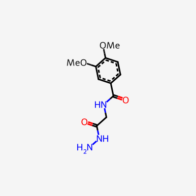 COc1ccc(C(=O)NCC(=O)NN)cc1OC